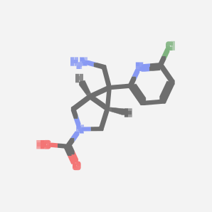 NCC1(c2cccc(Cl)n2)[C@@H]2CN(C(=O)O)C[C@@H]21